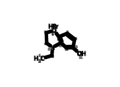 Br.CCN1CCOc2ccc(O)cc21